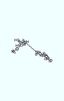 Cc1ncsc1-c1ccc(CNC(=O)[C@@H]2C[C@@H](O)CN2C(=O)[C@@H](NC(=O)CCCCCCCCCCNC(=O)c2ccc(C(=O)Nc3cc4[nH]c([C@@H]5CCCN5C)cc4cn3)cc2)C(C)(C)C)cc1